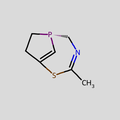 CC1=NC[P@]2C=C(CC2)S1